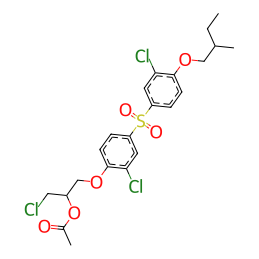 CCC(C)COc1ccc(S(=O)(=O)c2ccc(OCC(CCl)OC(C)=O)c(Cl)c2)cc1Cl